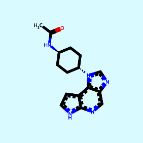 CC(=O)N[C@H]1CC[C@H](n2cnc3cnc4[nH]ccc4c32)CC1